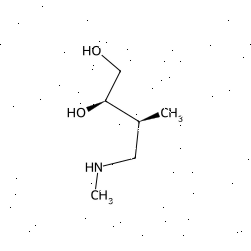 CNC[C@H](C)[C@@H](O)CO